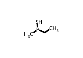 CCP(C)S